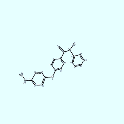 CCN(C(=O)c1ccc(Oc2ccc(NO)cc2)nc1)c1cccnc1